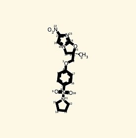 C[C@]1(COc2ccc(S(=O)(=O)N3CCCC3)cc2)Cn2cc([N+](=O)[O-])nc2O1